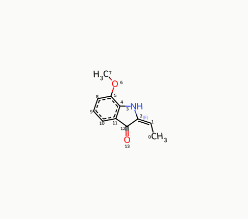 C/C=C1/Nc2c(OC)cccc2C1=O